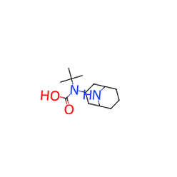 CC(C)(C)N(C(=O)O)C1CC2CCCC(C1)N2